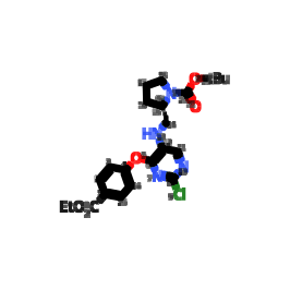 CCOC(=O)c1ccc(Oc2nc(Cl)ncc2NC[C@@H]2CCCN2C(=O)OC(C)(C)C)cc1